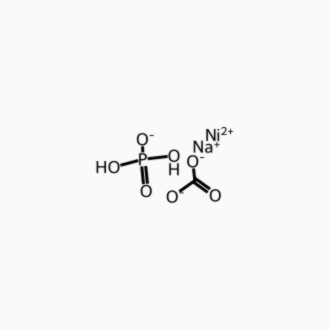 O=C([O-])[O-].O=P([O-])(O)O.[Na+].[Ni+2]